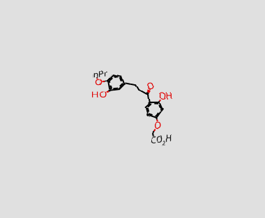 CCCOc1ccc(CCC(=O)c2ccc(OCC(=O)O)cc2O)cc1O